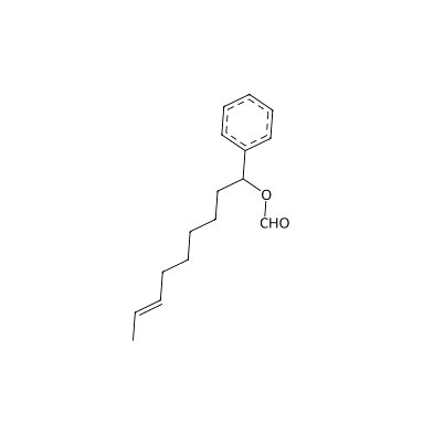 CC=CCCCCCC(OC=O)c1ccccc1